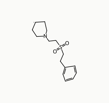 O=S(=O)(CCc1ccccc1)CCN1CC[CH]CC1